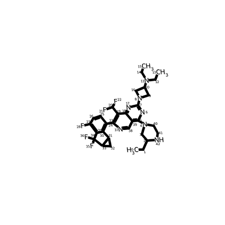 CCC1CN(c2nc(N3CC(N(CC)CC)C3)nc3c(C(F)F)c(-c4ccc(F)c5c4C4CC4C5(F)F)ncc23)CCN1